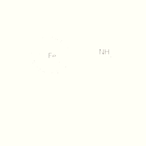 Nc1ccccc1[C]12[CH]3[CH]4[CH]5[CH]1[Fe]45321678[CH]2[CH]1[CH]6[CH]7[CH]28